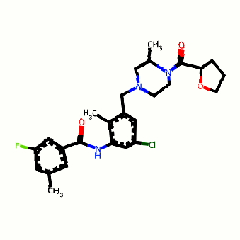 Cc1cc(F)cc(C(=O)Nc2cc(Cl)cc(CN3CCN(C(=O)C4CCCO4)C(C)C3)c2C)c1